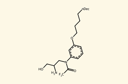 CCCCCCCCCCCCCCOc1cccc(N(CC(N)CO)C(=O)C(F)(F)F)c1